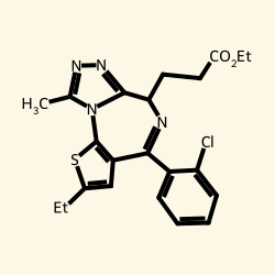 CCOC(=O)CCC1N=C(c2ccccc2Cl)c2cc(CC)sc2-n2c(C)nnc21